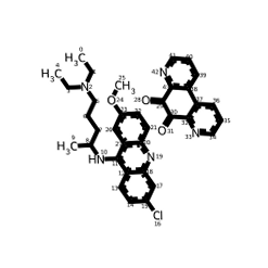 CCN(CC)CCCC(C)Nc1c2ccc(Cl)cc2nc2ccc(OC)cc12.O=C1C(=O)c2ncccc2-c2cccnc21